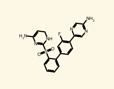 NC1=CCNC(S(=O)(=O)c2ccccc2-c2ccc(-c3cnc(N)cn3)c(F)c2)=N1